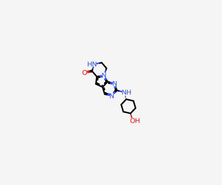 O=C1NCCn2c1cc1cnc(N[C@H]3CC[C@H](O)CC3)nc12